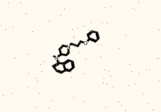 CN(c1cccc2ccccc12)C1CCN(CCCOc2ccccc2)CC1